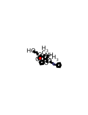 CC1=C(C(=O)OC/C=C/c2ccccc2)C(c2ccccc2[N+](=O)[O-])C(C(=O)OCCCO)=C(C)N1